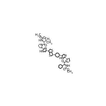 COC(=O)NC(C(=O)N1CCC[C@H]1c1nc(-c2csc3c(-c4ccc(-c5cnc([C@@H]6C=CCN6C(=O)[C@H](NC(=O)OC)c6ccccc6)[nH]5)cc4)csc23)c[nH]1)C(C)C